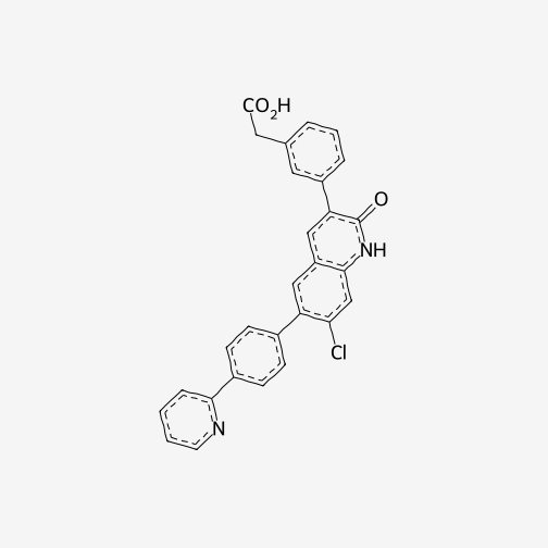 O=C(O)Cc1cccc(-c2cc3cc(-c4ccc(-c5ccccn5)cc4)c(Cl)cc3[nH]c2=O)c1